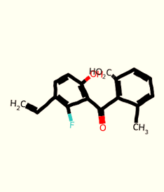 C=Cc1ccc(O)c(C(=O)c2c(C)cccc2C(=O)O)c1F